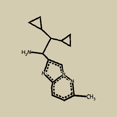 Cc1ccc2nc(C(N)C(C3CC3)C3CC3)cn2n1